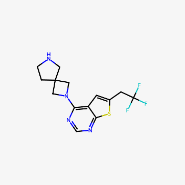 FC(F)(F)Cc1cc2c(N3CC4(CCNC4)C3)ncnc2s1